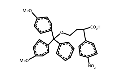 COc1ccc(C(OCCC(C(=O)O)c2ccc([N+](=O)[O-])cc2)(c2ccccc2)c2ccc(OC)cc2)cc1